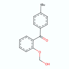 CC(C)(C)c1ccc(C(=O)c2ccccc2OCO)cc1